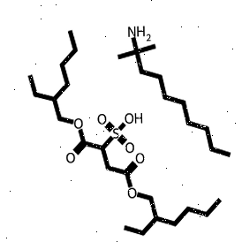 CCCCC(CC)COC(=O)CC(C(=O)OCC(CC)CCCC)S(=O)(=O)O.CCCCCCCCC(C)(C)N